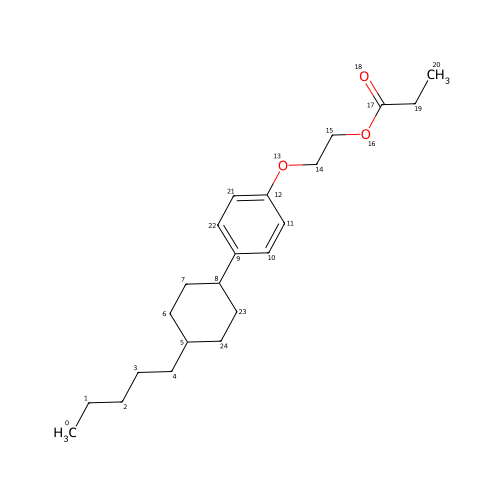 CCCCCC1CCC(c2ccc(OCCOC(=O)CC)cc2)CC1